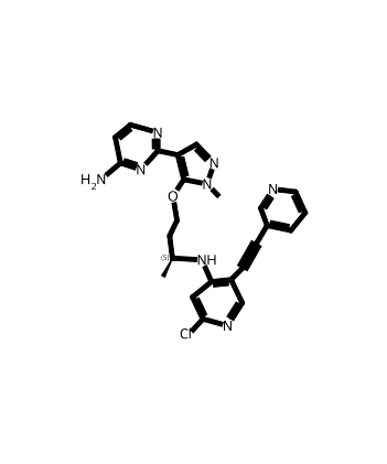 C[C@@H](CCOc1c(-c2nccc(N)n2)cnn1C)Nc1cc(Cl)ncc1C#Cc1cccnc1